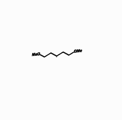 COCC[CH]CCOC